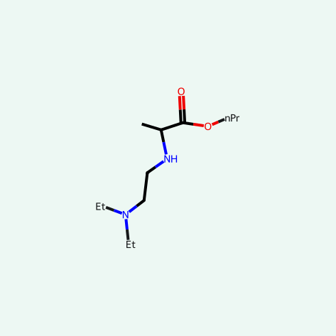 CCCOC(=O)C(C)NCCN(CC)CC